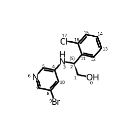 OC[C@@H](Nc1cncc(Br)c1)c1ccccc1Cl